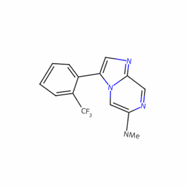 CNc1cn2c(-c3ccccc3C(F)(F)F)cnc2cn1